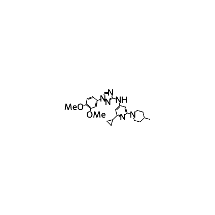 COc1ccc(-n2cnc(Nc3cc(C4CC4)nc(N4CCC(C)CC4)c3)n2)cc1OC